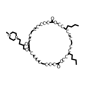 CCCCC1CCCCCCC(CCCC)CCOC(=O)CCCCCCCCCC2(CCCCCCCCCC(=O)OCC1)OCC(CCN1CCN(C)CC1)O2